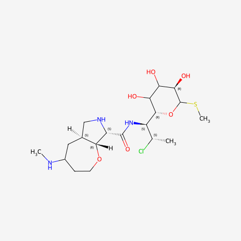 CNC1CCO[C@@H]2[C@H](CN[C@@H]2C(=O)N[C@H]([C@H](C)Cl)[C@H]2OC(SC)[C@H](O)C(O)C2O)C1